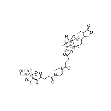 CC1O[C@H](CO)[C@@H](O)[C@H](O)[C@H]1NC(=O)CCC(=O)N1CCN(C(=O)CCC(=O)O[C@@H]2[C@@]3(C(C)C)C[C@H]3[C@@H]3O[C@@]34[C@@]3(C)CCC5=C(COC5=O)C3CO[C@]24C)CC1